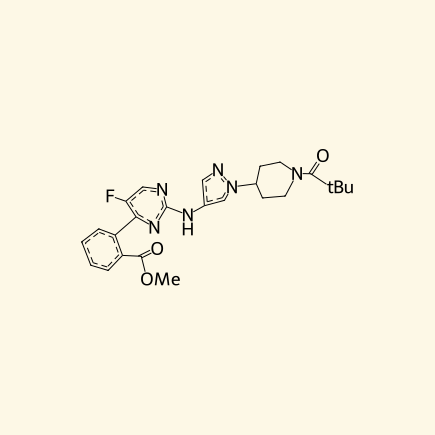 COC(=O)c1ccccc1-c1nc(Nc2cnn(C3CCN(C(=O)C(C)(C)C)CC3)c2)ncc1F